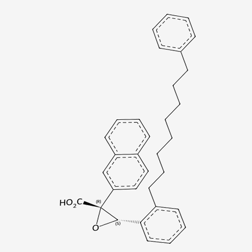 O=C(O)[C@]1(c2ccc3ccccc3c2)O[C@H]1c1ccccc1CCCCCCCCc1ccccc1